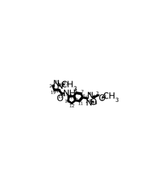 COCc1nc(-c2ccc3c(c2)CC[C@H]3NC(=O)c2ccnn2C)no1